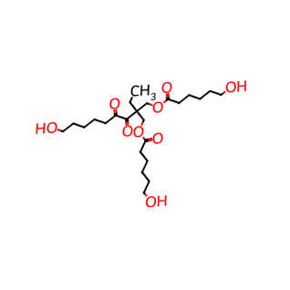 CCC(COC(=O)CCCCCO)(COC(=O)CCCCCO)C(=O)C(=O)CCCCCO